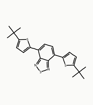 CC(C)(C)c1ccc(-c2ccc(-c3ccc(C(C)(C)C)s3)c3nsnc23)s1